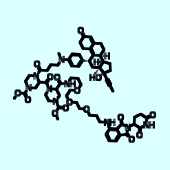 CC#C[C@]1(O)CC[C@H]2[C@@H]3CCC4=CC(=O)CCC4=C3[C@@H](c3ccc(N(C)CCCC(=O)N4CCN(C(=O)OC)CC4C(=O)N4CCN(C(=O)OC)CC4C(=O)NCCCOCCOCCOCCCNc4cccc5c4C(=O)N(C4CCC(=O)NC4=O)C5=O)cc3)C[C@@]21C